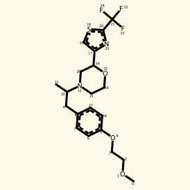 COCCOc1ccc(CC(C)N2CCOC(c3csc(C(F)(F)F)n3)C2)cc1